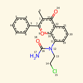 Cc1c(-c2ccccc2)oc2c(N(CCCl)C(N)=O)cccc2c1=O